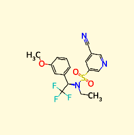 CCN([C@H](c1cccc(OC)c1)C(F)(F)F)S(=O)(=O)c1cncc(C#N)c1